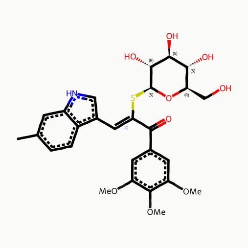 COc1cc(C(=O)/C(=C/c2c[nH]c3cc(C)ccc23)S[C@@H]2O[C@H](CO)[C@@H](O)[C@H](O)[C@H]2O)cc(OC)c1OC